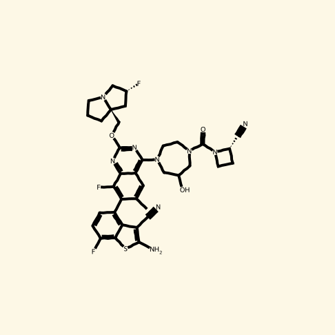 Cc1cc2c(N3CCN(C(=O)N4CC[C@H]4C#N)CC(O)C3)nc(OC[C@@]34CCCN3C[C@H](F)C4)nc2c(F)c1-c1ccc(F)c2sc(N)c(C#N)c12